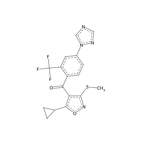 CSc1noc(C2CC2)c1C(=O)c1ccc(-n2cncn2)cc1C(F)(F)F